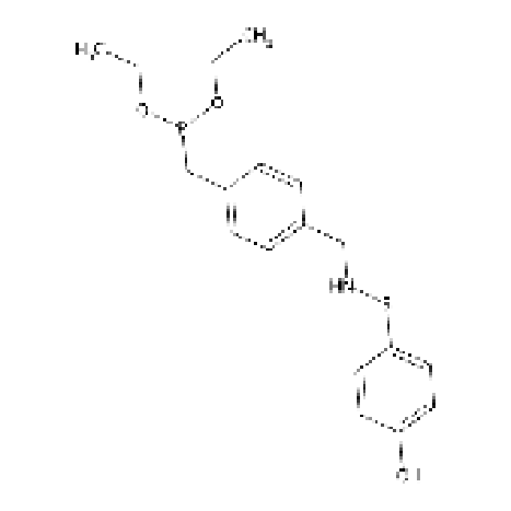 CCOP(Cc1ccc(CNSc2ccc(O)cc2)cc1)OCC